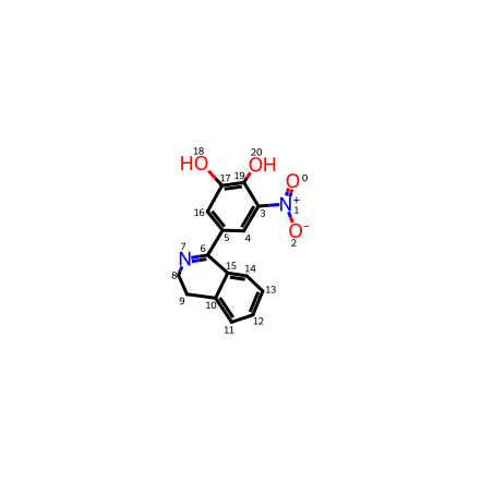 O=[N+]([O-])c1cc(C2=NCCc3ccccc32)cc(O)c1O